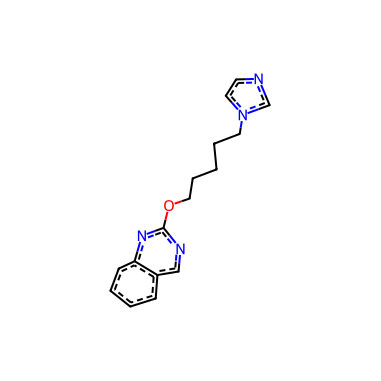 c1ccc2nc(OCCCCCn3ccnc3)ncc2c1